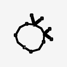 O=S1(=O)CS(=O)(=O)OCOCCOCO1